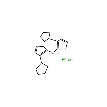 C1=CC(C2CCCC2)=[C]([Zr][C]2=C(C3CCCC3)C=CC2)C1.Cl.Cl